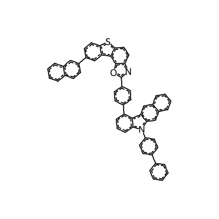 c1ccc(-c2ccc(-n3c4cc5ccccc5cc4c4c(-c5ccc(-c6nc7ccc8sc9ccc(-c%10ccc%11ccccc%11c%10)cc9c8c7o6)cc5)cccc43)cc2)cc1